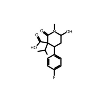 CC(C)C1(C(=O)O)C(=O)N(C)C(O)CC1c1ccc(F)cc1